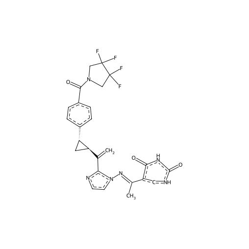 C=C(c1nccn1/N=C(\C)c1c[nH]c(=O)[nH]c1=O)[C@H]1C[C@@H]1c1ccc(C(=O)N2CC(F)(F)C(F)(F)C2)cc1